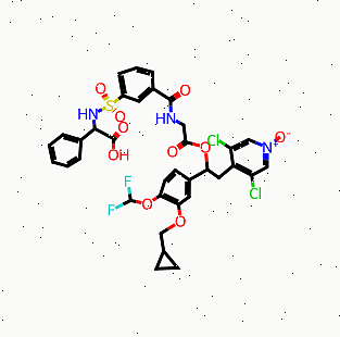 O=C(CNC(=O)c1cccc(S(=O)(=O)NC(C(=O)O)c2ccccc2)c1)OC(Cc1c(Cl)c[n+]([O-])cc1Cl)c1ccc(OC(F)F)c(OCC2CC2)c1